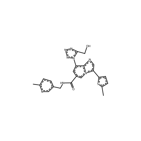 Cc1ccc(CNC(=O)c2cc(-n3nnnc3CO)c3ncc(-c4ccc(C)s4)n3c2)cn1